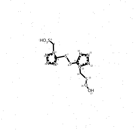 O=S(=O)(O)Cn1nnnc1SSc1nnnn1CSOO